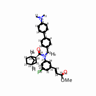 [2H][C@@H](c1ccc(-c2ccc(N(C)C)cc2)cc1)N(C(=O)[C@H]1C[C@H]2CC[C@@H]1C2)c1cc(F)cc(/C=C/C(=O)OC)c1